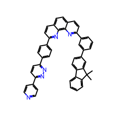 CC1(C)c2ccccc2-c2ccc(-c3cccc(-c4ccc5ccc6ccc(-c7ccc(-c8ccc(-c9ccncc9)nn8)cc7)nc6c5n4)c3)cc21